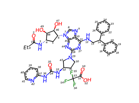 CCC(=O)N[C@H]1C[C@@H](n2cnc3c(NCC(c4ccccc4)c4ccccc4)nc(N4CC[C@@H](NC(=O)Nc5ccccn5)C4)nc32)[C@H](O)[C@@H]1O.O=C(O)C(F)(F)F